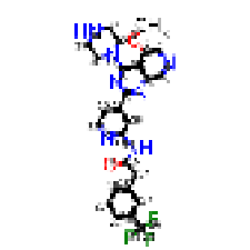 COc1cncc2nc(-c3ccnc(NC(=O)Cc4cccc(C(F)(F)F)c4)c3)nc(N3CCNCC3)c12